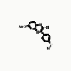 COc1ccc2nc(Cl)c(-c3ccc(OC(C)C)cc3)nc2c1